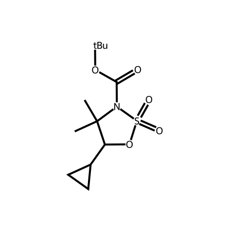 CC(C)(C)OC(=O)N1C(C)(C)C(C2CC2)OS1(=O)=O